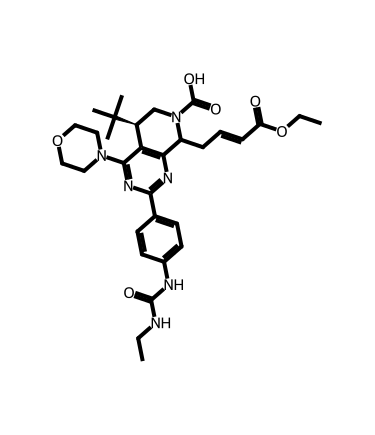 CCNC(=O)Nc1ccc(-c2nc3c(c(N4CCOCC4)n2)[C@@H](C(C)(C)C)CN(C(=O)O)C3CC=CC(=O)OCC)cc1